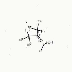 CCO.O=C(C(F)(F)F)C(F)(F)F